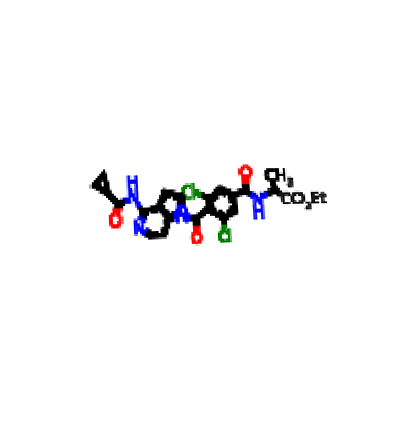 CCOC(=O)C(C)NC(=O)c1cc(Cl)c(C(=O)n2ccc3c(NC(=O)C4CC4)nccc32)c(Cl)c1